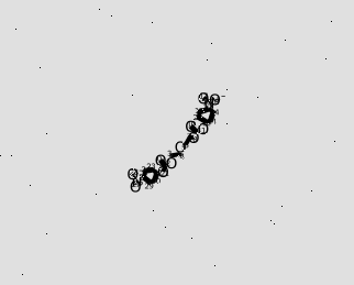 O=C(OCCOCCOC(=O)Oc1ccc([N+](=O)[O-])cc1)Oc1ccc([N+](=O)[O-])cc1